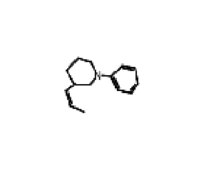 C/C=C\C1CCCN(c2ccccc2)C1